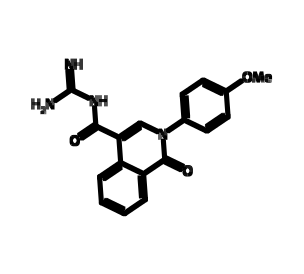 COc1ccc(-n2cc(C(=O)NC(=N)N)c3ccccc3c2=O)cc1